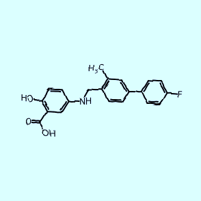 Cc1cc(-c2ccc(F)cc2)ccc1CNc1ccc(O)c(C(=O)O)c1